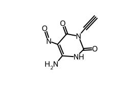 C#Cn1c(=O)[nH]c(N)c(N=O)c1=O